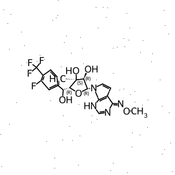 CON=c1nc[nH]c2c1ccn2[C@@H]1O[C@H](C(O)c2ccc(C(F)(F)F)c(F)c2)[C@@](C)(O)[C@H]1O